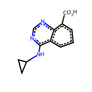 O=C(O)c1cccc2c(NC3CC3)ncnc12